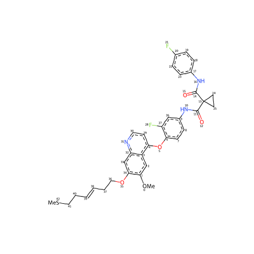 COc1cc2c(Oc3ccc(NC(=O)C4(C(=O)Nc5ccc(F)cc5)CC4)cc3F)ccnc2cc1OCC/C=C/CCSC